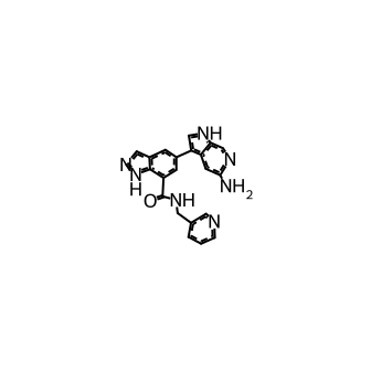 Nc1cc2c(-c3cc(C(=O)NCc4cccnc4)c4[nH]ncc4c3)c[nH]c2cn1